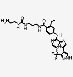 CCc1cc(Nc2nccn3c(-c4c[nH]nc4C(F)(F)F)cnc23)ccc1C(=O)NCCCNC(=O)NCCN